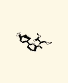 CO/C=C(/C(=O)OC)N(C)c1cccc(-c2ccc(Cl)cc2)n1